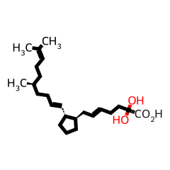 CC(C)=CCC[C@H](C)CC/C=C/[C@H]1CCC[C@@H]1CC=CCCC(O)(O)C(=O)O